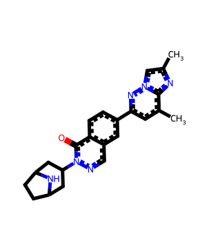 Cc1cn2nc(-c3ccc4c(=O)n(C5CC6CCC(C5)N6)ncc4c3)cc(C)c2n1